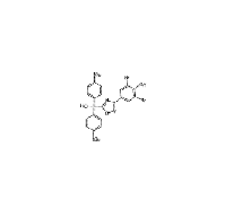 CC(C)(C)c1ccc(C(O)(c2ccc(C(C)(C)C)cc2)c2nc(-c3cc(Br)c(O)c(Br)c3)no2)cc1